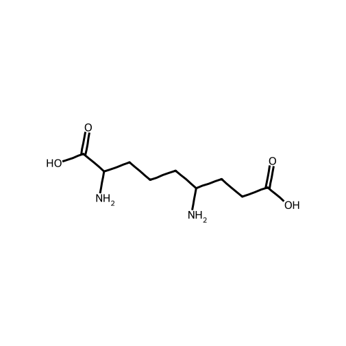 NC(CCCC(N)C(=O)O)CCC(=O)O